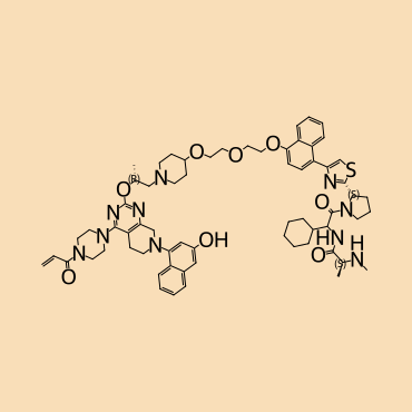 C=CC(=O)N1CCN(c2nc(O[C@H](C)CN3CCC(OCCOCCOc4ccc(-c5csc([C@@H]6CCCN6C(=O)C(NC(=O)[C@H](C)NC)C6CCCCC6)n5)c5ccccc45)CC3)nc3c2CCN(c2cc(O)cc4ccccc24)C3)CC1